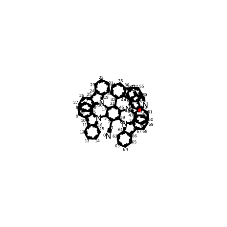 N#Cc1c(-n2c3ccccc3c3ccccc32)c(-n2c3ccccc3c3ccccc32)c(-c2cccc3sc4cnccc4c23)c(-n2c3ccccc3c3ccccc32)c1-n1c2ccccc2c2ccccc21